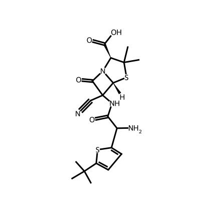 CC(C)(C)c1ccc(C(N)C(=O)NC2(C#N)C(=O)N3[C@@H](C(=O)O)C(C)(C)S[C@@H]32)s1